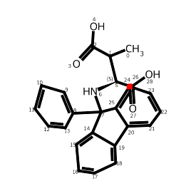 CC(C(=O)O)[C@H](NC1(c2ccccc2)c2ccccc2-c2ccccc21)C(=O)O